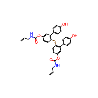 C=CCNC(=O)Oc1ccc(Sc2ccc(OC(=O)NCC=C)cc2-c2ccc(O)cc2)c(-c2ccc(O)cc2)c1